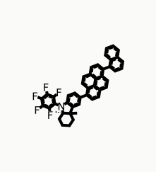 CC12CCCC[C@@]1(C)N(c1c(F)c(F)c(F)c(F)c1F)c1ccc(-c3ccc4ccc5c(-c6cccc7ccccc67)ccc6ccc3c4c65)cc12